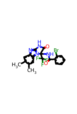 Cc1cc2nc3n(c2cc1C)C(NC(=O)c1ccccc1Br)(C(F)(F)F)C(=O)N3